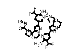 CC(C)(C)OC(=O)N1CC[C@]2(C1)OCCn1nc(-c3cnc(N)c(C(F)F)c3)cc12.Nc1ncc(-c2cc3n(n2)CCO[C@@]32CCNC2)cc1C(F)F